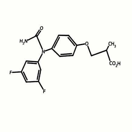 CC(COc1ccc(N(C(N)=O)c2cc(F)cc(F)c2)cc1)C(=O)O